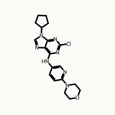 Clc1nc(Nc2ccc(N3CCOCC3)nc2)c2ncn(C3CCCC3)c2n1